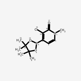 Cn1ccc(B2OC(C)(C)C(C)(C)O2)c(Cl)c1=O